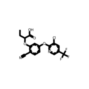 CCC(Oc1cc(Oc2ncc(C(F)(F)F)cc2Cl)ccc1C#N)C(=O)O